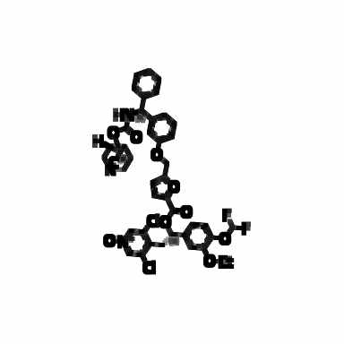 CCOc1cc([C@H](Cc2c(Cl)c[n+]([O-])cc2Cl)OC(=O)c2ccc(COc3cccc([C@@H](NC(=O)O[C@H]4CN5CCC4CC5)c4ccccc4)c3)o2)ccc1OC(F)F